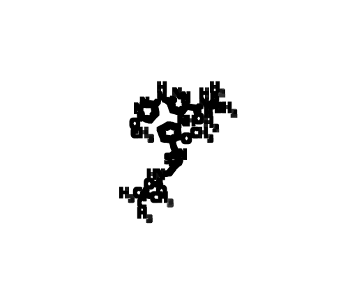 BC(B)(B)NC(=O)c1nnc(Nc2ccc(OC)nn2)cc1Nc1cccc(-c2ncc(CNC(=O)OC(C)(C)C)s2)c1OC